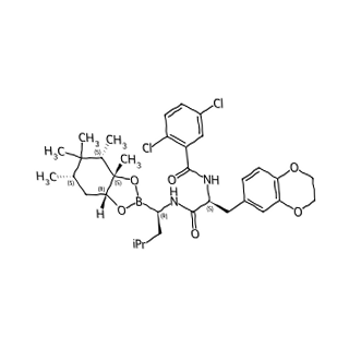 CC(C)C[C@H](NC(=O)[C@H](Cc1ccc2c(c1)OCCO2)NC(=O)c1cc(Cl)ccc1Cl)B1O[C@@H]2C[C@H](C)C(C)(C)[C@H](C)[C@]2(C)O1